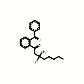 CCCCCC(N)(N)CC(=O)c1ccccc1C(=O)c1ccccc1